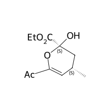 CCOC(=O)[C@]1(O)C[C@H](C)C=C(C(C)=O)O1